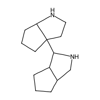 C1CC2CNC(C34CCCC3NCC4)C2C1